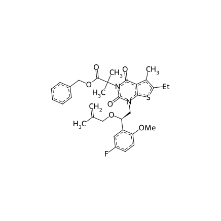 C=C(C)CO[C@@H](Cn1c(=O)n(C(C)(C)C(=O)OCc2ccccc2)c(=O)c2c(C)c(CC)sc21)c1cc(F)ccc1OC